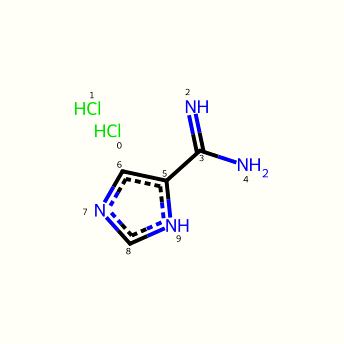 Cl.Cl.N=C(N)c1cnc[nH]1